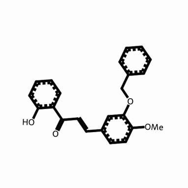 COc1ccc(/C=C/C(=O)c2ccccc2O)cc1OCc1ccccc1